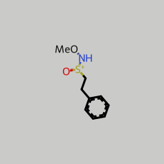 CON[S+]([O-])CCc1ccccc1